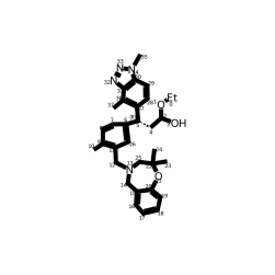 CCOC(O)C[C@H](c1ccc(C)c(CN2Cc3ccccc3OC(C)(C)C2)c1)c1ccc2c(nnn2C)c1C